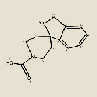 O=C(O)N1CCC2(CC1)SCc1ccccc12